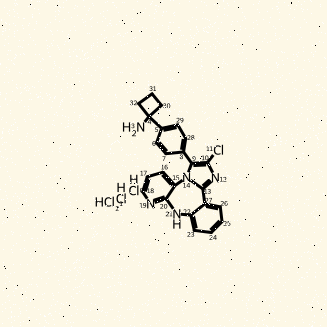 Cl.Cl.Cl.NC1(c2ccc(-c3c(Cl)nc4n3-c3cccnc3Nc3ccccc3-4)cc2)CCC1